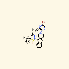 Cc1nc(Br)cnc1N1CCC2(CC1)Cc1ccccc1[C@H]2N[S@+]([O-])C(C)(C)C